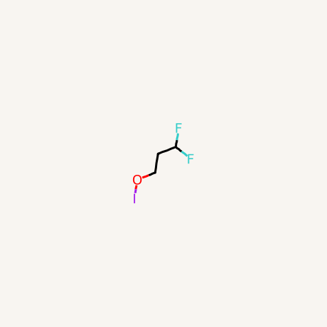 FC(F)CCOI